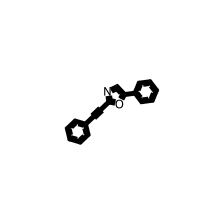 C(#Cc1ncc(-c2ccccc2)o1)c1ccccc1